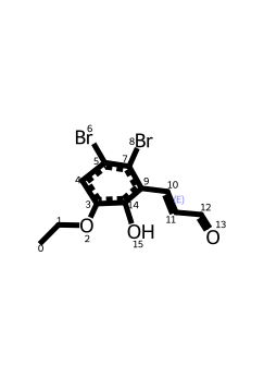 CCOc1cc(Br)c(Br)c(/C=C/C=O)c1O